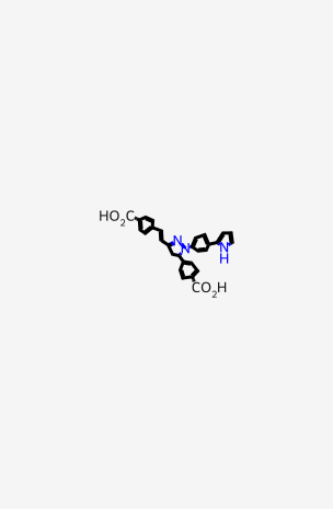 O=C(O)c1ccc(C=CC2=NN(c3ccc(-c4ccc[nH]4)cc3)C(c3ccc(C(=O)O)cc3)C2)cc1